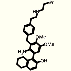 COc1cc(-c2c(O)ccc3c2CCCC3)c(N)c(Cc2ccc(CCNCCC(C)C)cc2)c1OC